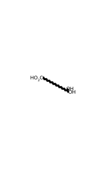 O=C(O)CCCCCCCCCCCCCCCCC(O)CO